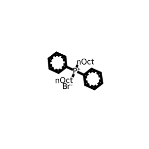 CCCCCCCC[P+](CCCCCCCC)(c1ccccc1)c1ccccc1.[Br-]